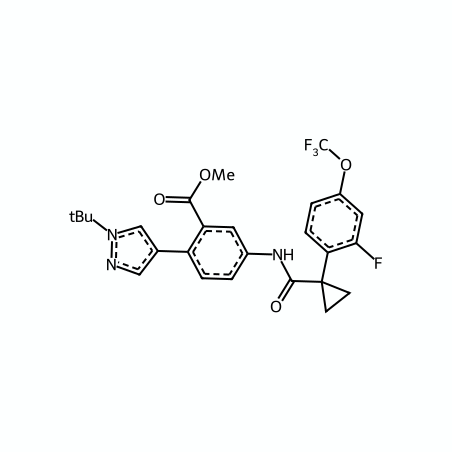 COC(=O)c1cc(NC(=O)C2(c3ccc(OC(F)(F)F)cc3F)CC2)ccc1-c1cnn(C(C)(C)C)c1